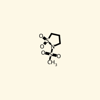 CS(=O)(=O)N1CCCS1(=O)=O